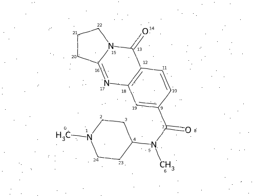 CN1CCC(N(C)C(=O)c2ccc3c(=O)n4c(nc3c2)CCC4)CC1